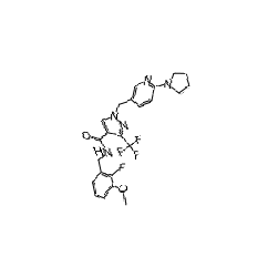 COc1cccc(CNC(=O)c2cn(Cc3ccc(N4CCCC4)nc3)nc2C(F)(F)F)c1F